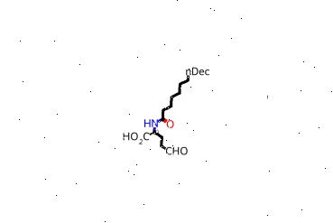 CCCCCCCCCCCCCCCCC(=O)N[C@@H](CCC=O)C(=O)O